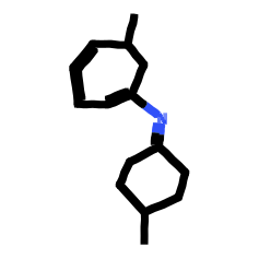 CC1C=C=CC=C(N=C2CCC(C)CC2)C1